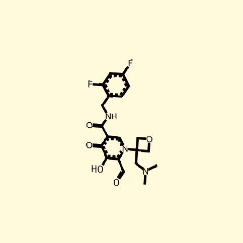 CN(C)CC1(n2cc(C(=O)NCc3ccc(F)cc3F)c(=O)c(O)c2C=O)COC1